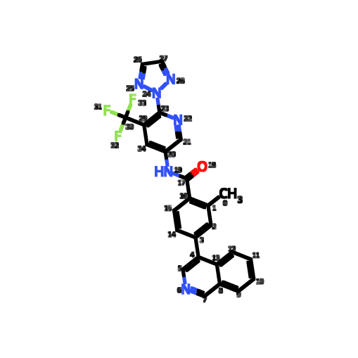 Cc1cc(-c2cncc3ccccc23)ccc1C(=O)Nc1cnc(-n2nccn2)c(C(F)(F)F)c1